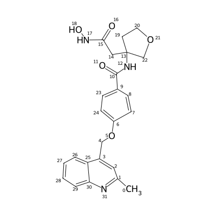 Cc1cc(COc2ccc(C(=O)NC3(CC(=O)NO)CCOC3)cc2)c2ccccc2n1